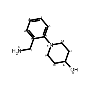 NCc1c[c]ccc1N1CCC(O)CC1